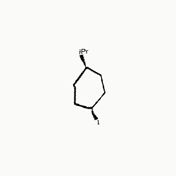 CC(C)[C@H]1CC[C@@H](I)CC1